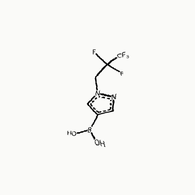 OB(O)c1cnn(CC(F)(F)C(F)(F)F)c1